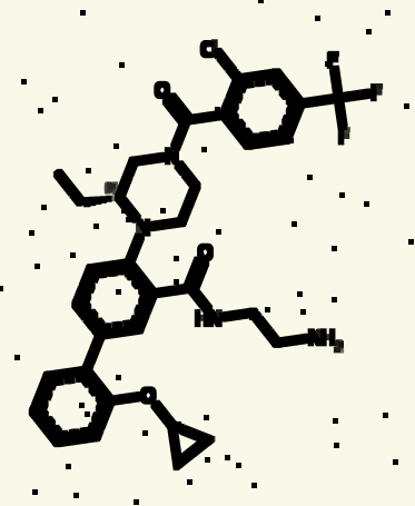 CC[C@@H]1CN(C(=O)c2ccc(C(F)(F)F)cc2Cl)CCN1c1ccc(-c2ccccc2OC2CC2)cc1C(=O)NCCN